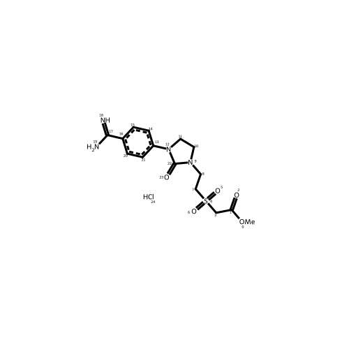 COC(=O)CS(=O)(=O)CCN1CCN(c2ccc(C(=N)N)cc2)C1=O.Cl